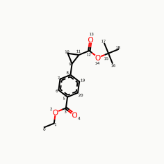 CCOC(=O)c1ccc(C2CC2C(=O)OC(C)(C)C)cc1